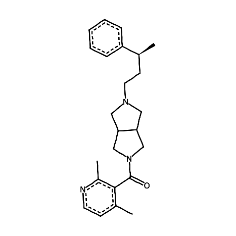 Cc1ccnc(C)c1C(=O)N1CC2CN(CC[C@H](C)c3ccccc3)CC2C1